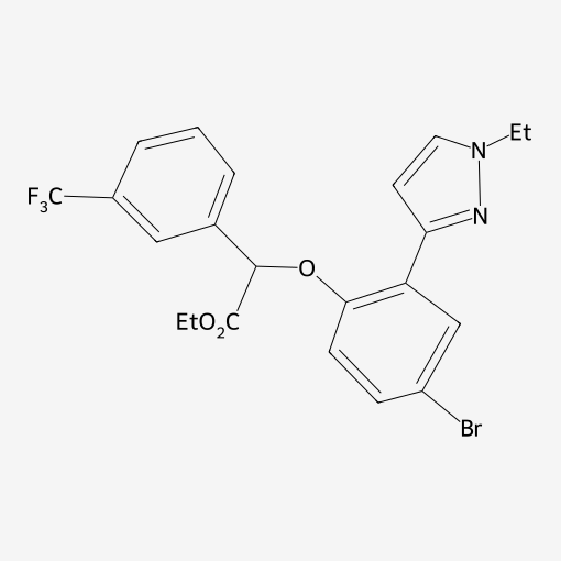 CCOC(=O)C(Oc1ccc(Br)cc1-c1ccn(CC)n1)c1cccc(C(F)(F)F)c1